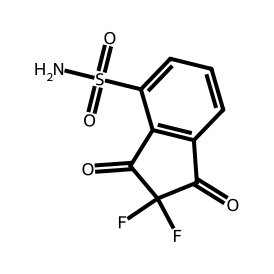 NS(=O)(=O)c1cccc2c1C(=O)C(F)(F)C2=O